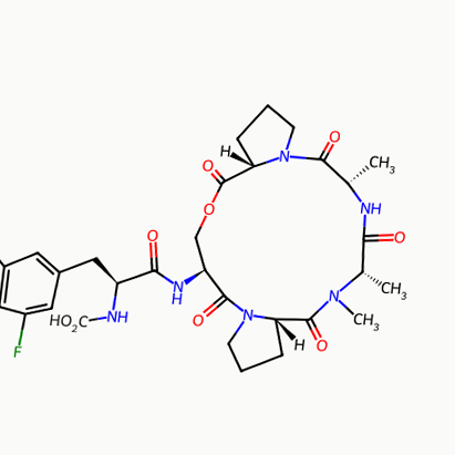 C[C@@H]1NC(=O)[C@H](C)N(C)C(=O)[C@@H]2CCCN2C(=O)[C@@H](NC(=O)[C@H](Cc2cc(F)cc(F)c2)NC(=O)O)COC(=O)[C@@H]2CCCN2C1=O